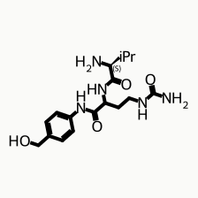 CC(C)[C@H](N)C(=O)NC(CCNC(N)=O)C(=O)Nc1ccc(CO)cc1